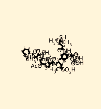 CC[C@H](C)C(NC(=O)[C@H]1CCCCN1C)C(=O)N(C)[C@H](C[C@@H](OC(C)=O)c1nc(C(=O)N[C@@H](Cc2ccc(OC(=O)OP(=O)(O)O)c(NC(=O)CCC(C)(C)S)c2)CC(C)C(=O)O)cs1)C(C)C